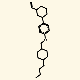 C=CC1CCCC(c2ccc(OCC3CCC(CCCC)CC3)cc2)C1